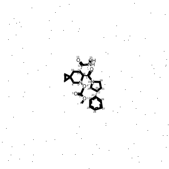 COC(=O)ON1CC2(CC2)C[C@H](C(=O)NO)[C@H]1C(=O)N1CC[C@H](c2ccccc2)C1